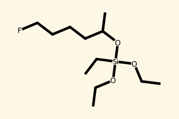 CCO[Si](CC)(OCC)OC(C)CCCCF